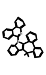 CC1(C)c2ccccc2-c2ccccc2-c2c1c1ccccc1n2-c1nc2ccccc2c2ccccc12